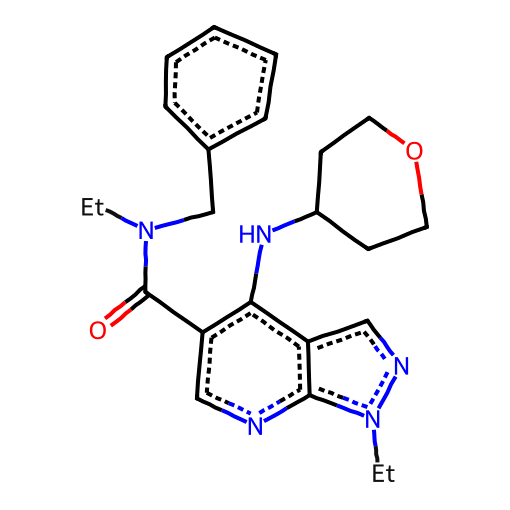 CCN(Cc1ccccc1)C(=O)c1cnc2c(cnn2CC)c1NC1CCOCC1